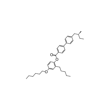 CCCCCCOc1ccc(OC(=O)c2ccc(-c3ccc(C[C@@H](C)CC)cc3)cc2)c(CCCCC)c1